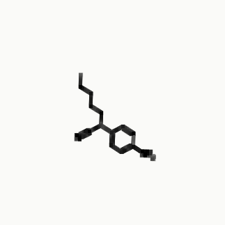 CCCCCC(C#N)c1ccc(N)cc1